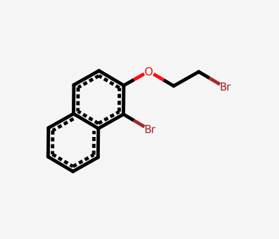 BrCCOc1ccc2ccccc2c1Br